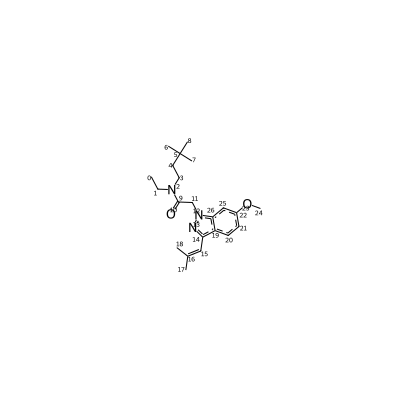 CCN(CCC(C)(C)C)C(=O)Cn1nc(C=C(C)C)c2ccc(OC)cc21